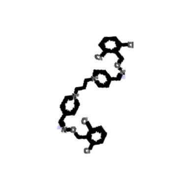 Clc1cccc(Cl)c1CO/N=C\c1cc[n+](CCC[n+]2ccc(/C=N\OCc3c(Cl)cccc3Cl)cc2)cc1